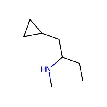 [CH2]NC(CC)CC1CC1